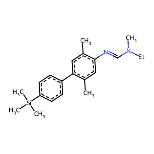 CCN(C)/C=N/c1cc(C)c(-c2ccc([Si](C)(C)C)cc2)cc1C